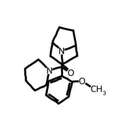 COc1ccccc1C1CC2CCC(C1)N2C(=O)N1CCCCC1